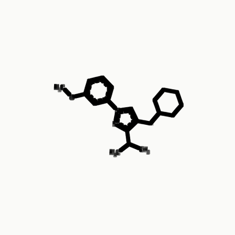 COc1cccc(-n2cc([C]C3CCCCC3)c(C(C)C)n2)c1